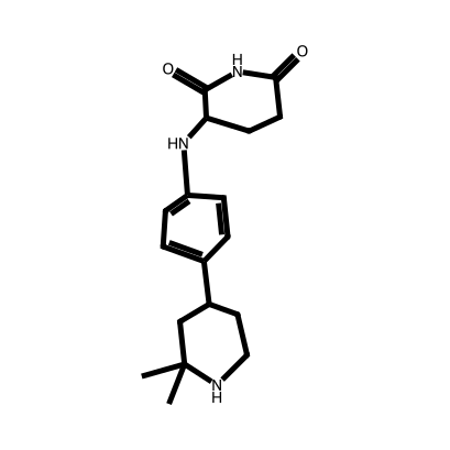 CC1(C)CC(c2ccc(NC3CCC(=O)NC3=O)cc2)CCN1